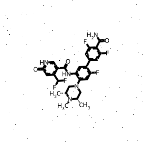 C[C@@H]1CN(c2cc(F)c(-c3cc(F)c(C(N)=O)c(F)c3)cc2NC(=O)c2c[nH]c(=O)cc2C(F)F)C[C@H](C)N1C